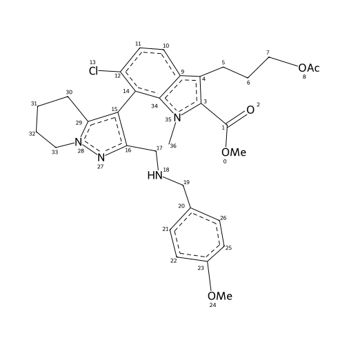 COC(=O)c1c(CCCOC(C)=O)c2ccc(Cl)c(-c3c(CNCc4ccc(OC)cc4)nn4c3CCCC4)c2n1C